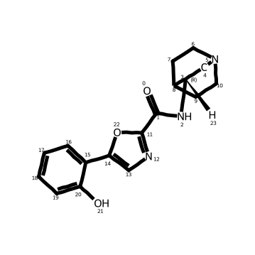 O=C(N[C@H]1CN2CCC1CC2)c1ncc(-c2ccccc2O)o1